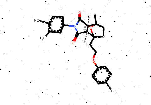 CC12CCC(CCOc3ccc(C(F)(F)F)cc3)(O1)[C@H]1C(=O)N(c3ccc(C#N)c(C(F)(F)F)c3)C(=O)[C@H]12